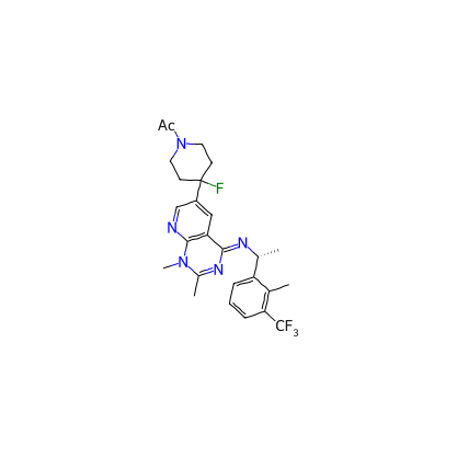 CC(=O)N1CCC(F)(c2cnc3c(c2)/c(=N/[C@H](C)c2cccc(C(F)(F)F)c2C)nc(C)n3C)CC1